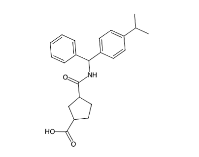 CC(C)c1ccc(C(NC(=O)C2CCC(C(=O)O)C2)c2ccccc2)cc1